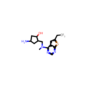 CN(CC1CC(N)CC1O)c1ncnc2sc(CC(F)(F)F)cc12